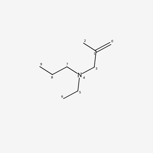 C=C(C)CN(CC)CCC